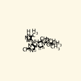 Cc1[nH]nnc1Nc1nc(Cl)ncc1N1CCN(C(=O)OC(C)(C)C)[C@H](C)C1